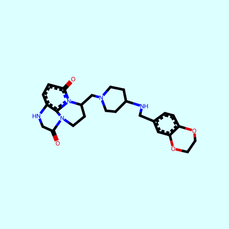 O=C1CNc2ccc(=O)n3c2N1CCC3CN1CCC(NCc2ccc3c(c2)OCCO3)CC1